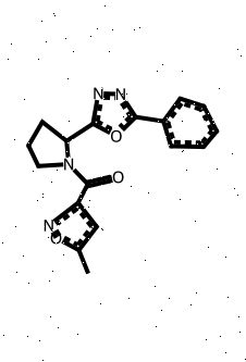 Cc1cc(C(=O)N2CCCC2c2nnc(-c3ccccc3)o2)no1